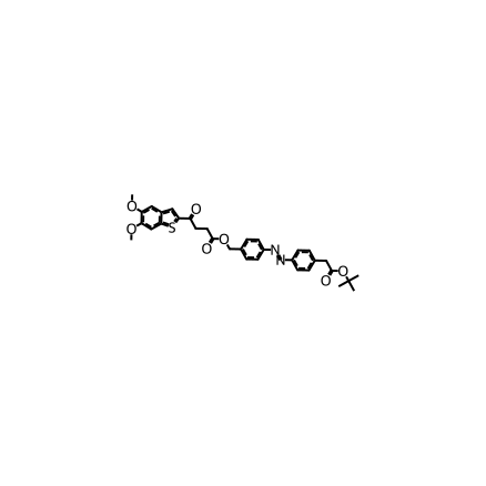 COc1cc2cc(C(=O)CCC(=O)OCc3ccc(N=Nc4ccc(CC(=O)OC(C)(C)C)cc4)cc3)sc2cc1OC